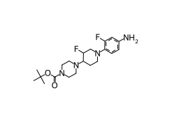 CC(C)(C)OC(=O)N1CCN(C2CCN(c3ccc(N)cc3F)CC2F)CC1